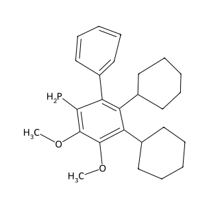 COc1c(P)c(-c2ccccc2)c(C2CCCCC2)c(C2CCCCC2)c1OC